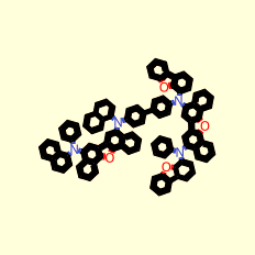 C1=CC2C=CC=C(N(c3ccc(-c4ccc(N(c5cc6c7cc(N(C8=CC=CC9c%10ccccc%10OC89)c8ccccc8)c8ccccc8c7oc6c6ccccc56)c5cccc6c5oc5ccccc56)cc4)cc3)c3cc4c5cc(N(c6ccccc6)c6cccc7ccccc67)c6ccccc6c5oc4c4ccccc34)C2C=C1